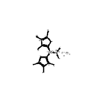 CC1=C(C)C(C)=[C]([Hf+2]([C]2=C(C)C(C)=C(C)C2)[SiH](C)C)C1.[Cl-].[Cl-]